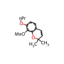 CCCOc1ccc2c(c1OC)OC(C)(C)C=C2